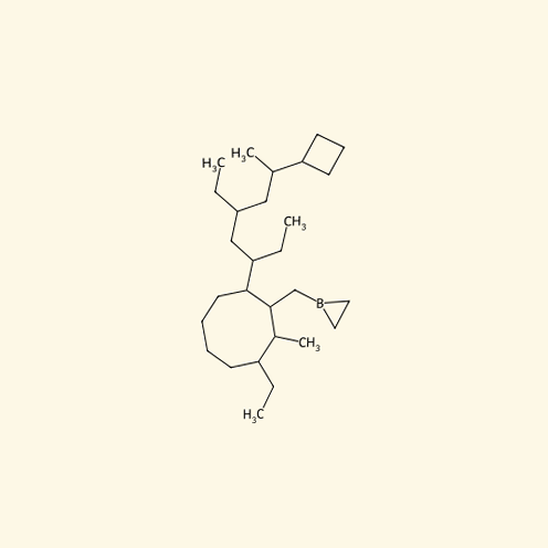 CCC(CC(C)C1CCC1)CC(CC)C1CCCCC(CC)C(C)C1CB1CC1